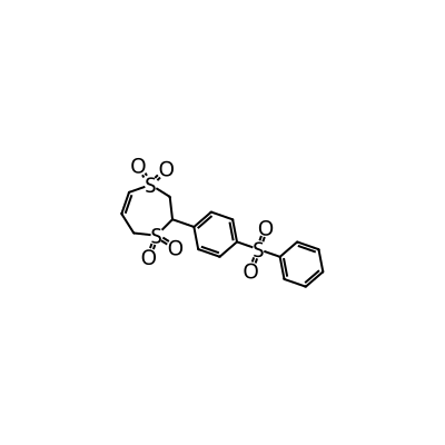 O=S1(=O)C=CCS(=O)(=O)C(c2ccc(S(=O)(=O)c3ccccc3)cc2)C1